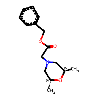 C[C@@H]1CN(CC(=O)OCc2ccccc2)C[C@@H](C)O1